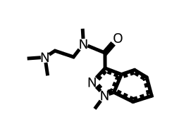 CN(C)CCN(C)C(=O)c1nn(C)c2ccccc12